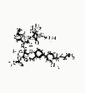 C[n+]1cc(-c2ccc3c(c2)CC[C@H]([C@](C)(O/N=C(\C(=O)N[C@@H]2C(=O)N(OS(=O)(=O)O)C2(C)C)c2csc(N)n2)C(=O)OC(=O)C(F)(F)F)O3)ccc1NCCN